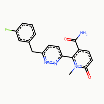 Cn1c(-c2ccc(Cc3cccc(F)c3)nn2)c(C(N)=O)ccc1=O